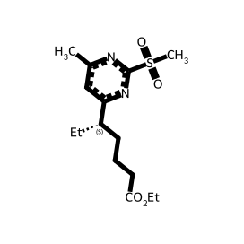 CCOC(=O)CCC[C@H](CC)c1cc(C)nc(S(C)(=O)=O)n1